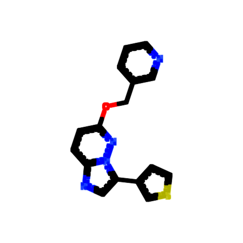 c1cncc(COc2ccc3ncc(-c4ccsc4)n3n2)c1